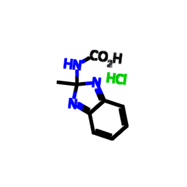 CC1(NC(=O)O)N=c2ccccc2=N1.Cl